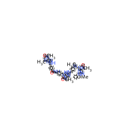 COc1ccccc1CNc1ncc2c(n1)N(CCN(C)c1ccc(CNc3ncc4c(n3)N(Cc3ccc(CNC(=O)c5ccc(CNc6ncc7c(n6)N(C)CC(=O)N7C)cc5)cc3)CC(=O)N4C)cc1)CC(=O)N2C